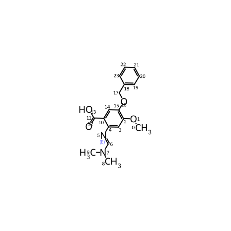 COc1cc(/N=C/N(C)C)c(C(=O)O)cc1OCc1ccccc1